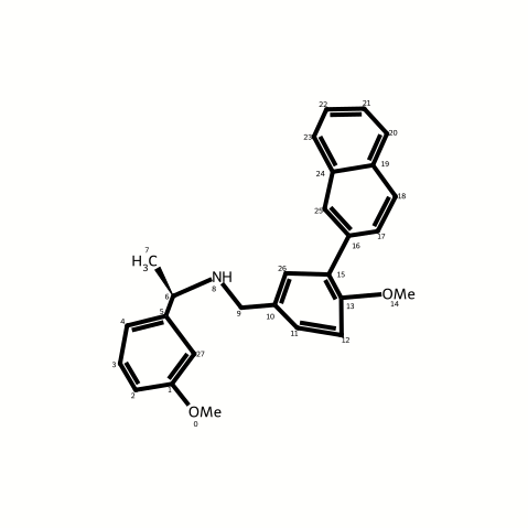 COc1cccc([C@@H](C)NCc2ccc(OC)c(-c3ccc4ccccc4c3)c2)c1